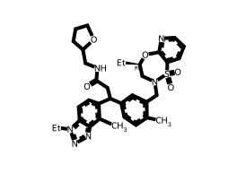 CC[C@@H]1CN(Cc2cc(C(CC(=O)NCC3CCCO3)c3ccc4c(nnn4CC)c3C)ccc2C)S(=O)(=O)c2cccnc2O1